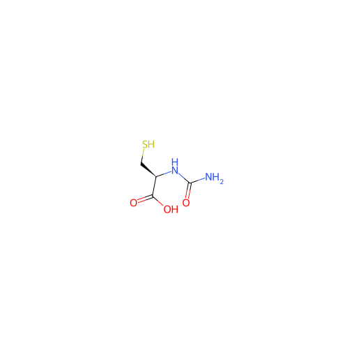 NC(=O)N[C@H](CS)C(=O)O